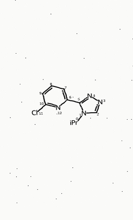 CC(C)n1cnnc1-c1cccc(Cl)n1